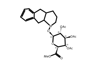 COC(=O)[C@H]1O[C@@H](ON2CCCC3Cc4ccccc4CC32)[C@H](OC(C)=O)[C@@H](OC(C)=O)[C@@H]1OC(C)=O